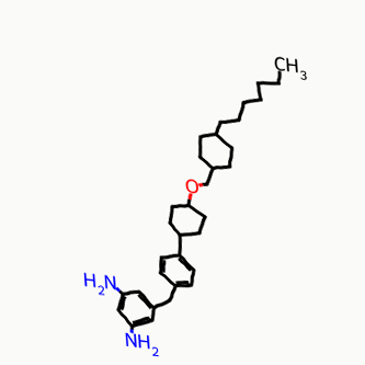 CCCCCCCC1CCC(COC2CCC(c3ccc(Cc4cc(N)cc(N)c4)cc3)CC2)CC1